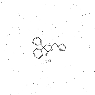 CCCl.O=C1OC(Cn2cccn2)CC1(c1ccccc1)c1ccccc1